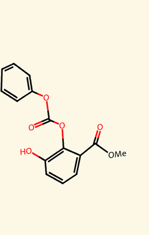 COC(=O)c1cccc(O)c1OC(=O)Oc1ccccc1